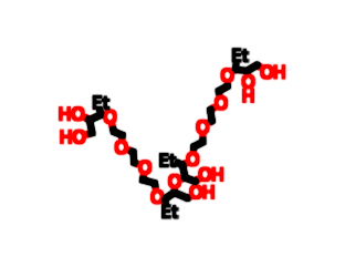 CCC(OCCOCCOCCOC(CC)C(CO)OC(CO)C(CC)OCCOCCOCCOC(CC)C(O)CO)C(O)CO